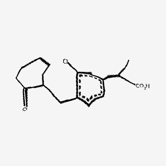 CC(C(=O)O)c1ccc(CC2CCCCC2=O)c(Cl)c1